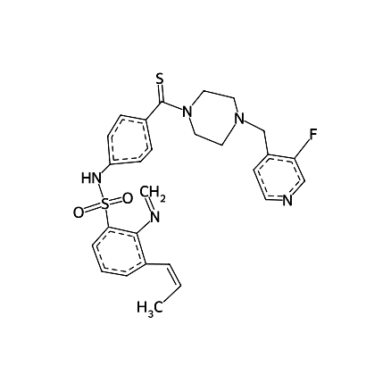 C=Nc1c(/C=C\C)cccc1S(=O)(=O)Nc1ccc(C(=S)N2CCN(Cc3ccncc3F)CC2)cc1